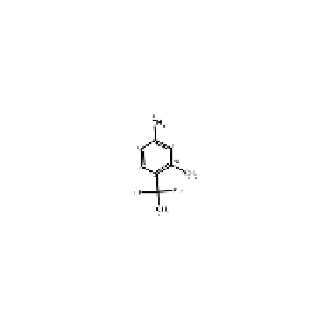 [CH2]C(F)(F)c1ccc(C)cc1C